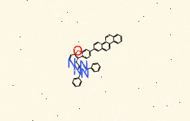 c1ccc(-c2nc(-c3ccccc3)nc(-c3nccc4oc5cc(-c6ccc7c(ccc8c9ccccc9ccc78)c6)ccc5c34)n2)cc1